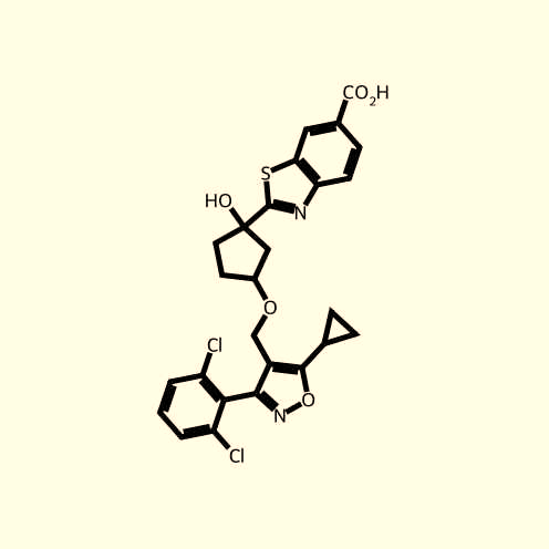 O=C(O)c1ccc2nc(C3(O)CCC(OCc4c(-c5c(Cl)cccc5Cl)noc4C4CC4)C3)sc2c1